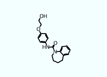 O=C(Nc1ccc(OCCO)cc1)N1CCCCc2ccccc21